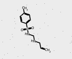 C=CCNCNS(=O)(=O)c1ccc(C)cc1